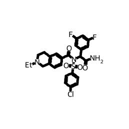 CCN1CCc2cc(C(=O)N(C(C(N)=O)c3cc(F)cc(F)c3)S(=O)(=O)c3ccc(Cl)cc3)ccc2C1